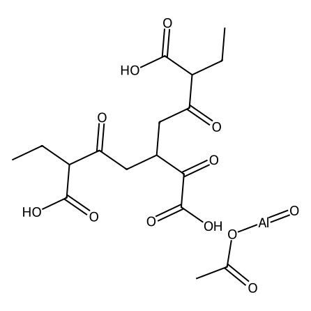 CC(=O)[O][Al]=[O].CCC(C(=O)O)C(=O)CC(CC(=O)C(CC)C(=O)O)C(=O)C(=O)O